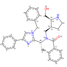 CC(C)(C)[C@H](c1nc(-c2ccccc2)cn1Cc1ccccc1)N(C[C@@H]1CCN[C@@H]1CO)C(=O)c1ccccc1